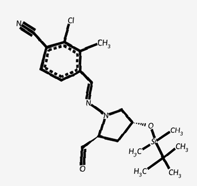 Cc1c(C=NN2C[C@H](O[Si](C)(C)C(C)(C)C)C[C@H]2C=O)ccc(C#N)c1Cl